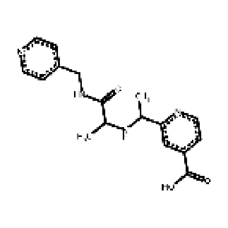 CC(NC(C)c1cc(C(=O)O)ccn1)C(=O)NCc1ccncc1